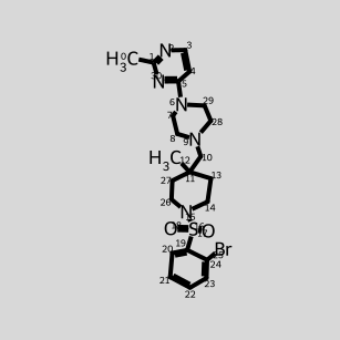 Cc1nccc(N2CCN(CC3(C)CCN(S(=O)(=O)c4ccccc4Br)CC3)CC2)n1